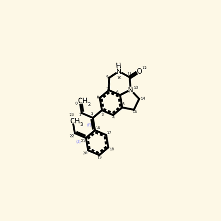 C=C/C(c1cc2c3c(c1)CNC(=O)N3CC2)=c1/cccc/c1=C/C